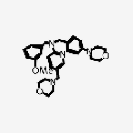 COc1cccc(CN(Cc2ccc(N3CCOCC3)cc2)c2ccc(CN3CCOCC3)cn2)c1